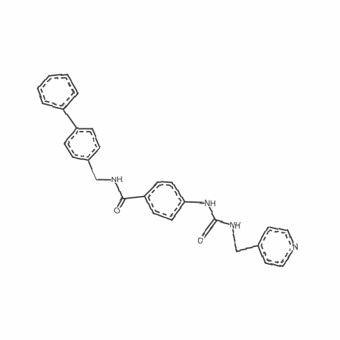 O=C(NCc1ccncc1)Nc1ccc(C(=O)NCc2ccc(-c3ccccc3)cc2)cc1